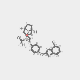 CC(=O)N[C@@H]1C[C@H]2CC[C@@H](C1)N2CCOc1ccc(Oc2nc3cccc(Cl)c3s2)cc1